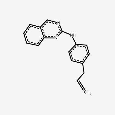 C=CCc1ccc(Nc2ncc3ccccc3n2)cc1